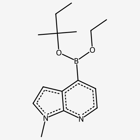 CCOB(OC(C)(C)CC)c1ccnc2c1ccn2C